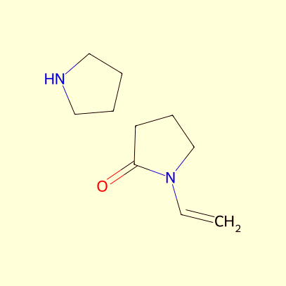 C1CCNC1.C=CN1CCCC1=O